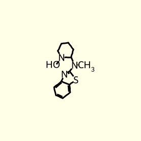 CN(c1nc2ccccc2s1)C1CCCCN1O